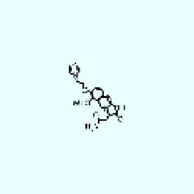 COc1c(OCCn2ccnc2)ccc2c1CN1C(=N2)NC(=O)C1CC(N)=O